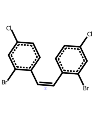 Clc1ccc(/C=C\c2ccc(Cl)cc2Br)c(Br)c1